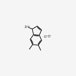 Cc1cc2c(cc1C)[CH]([Zr+2])C=C2.[Cl-].[Cl-]